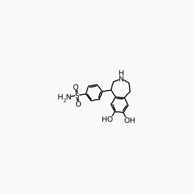 NS(=O)(=O)c1ccc(C2CNCCc3cc(O)c(O)cc32)cc1